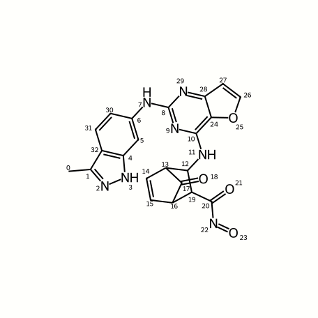 Cc1n[nH]c2cc(Nc3nc(NC4C5C=CC(C5=O)C4C(=O)N=O)c4occc4n3)ccc12